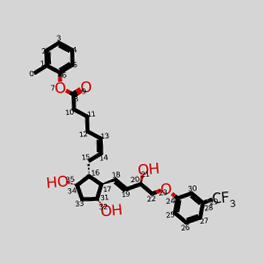 Cc1ccccc1OC(=O)CCC/C=C\C[C@@H]1[C@@H](/C=C/[C@@H](O)COc2cccc(C(F)(F)F)c2)[C@H](O)C[C@@H]1O